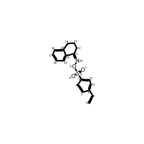 C=Cc1ccc(S(=O)(=O)O/N=C2/CCCc3ccccc32)cc1